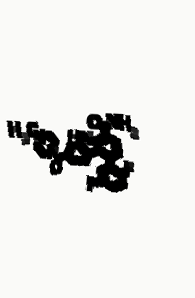 CN1CCN(C(=O)c2ccc3c(c2)[nH]c2c(C(N)=O)ccc(-c4cc(F)ccc4F)c23)CC1